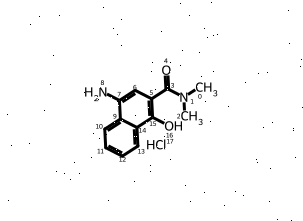 CN(C)C(=O)c1cc(N)c2ccccc2c1O.Cl